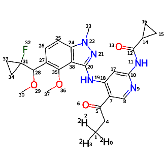 [2H]C([2H])([2H])CC(=O)c1cnc(NC(=O)C2CC2)cc1Nc1nn(C)c2ccc(C(OC)C3(F)CC3)c(OC)c12